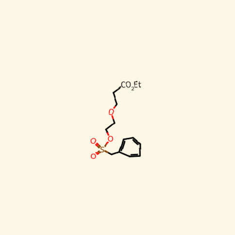 CCOC(=O)CCOCCOS(=O)(=O)Cc1ccccc1